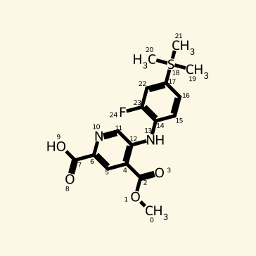 COC(=O)c1cc(C(=O)O)ncc1Nc1ccc(S(C)(C)C)cc1F